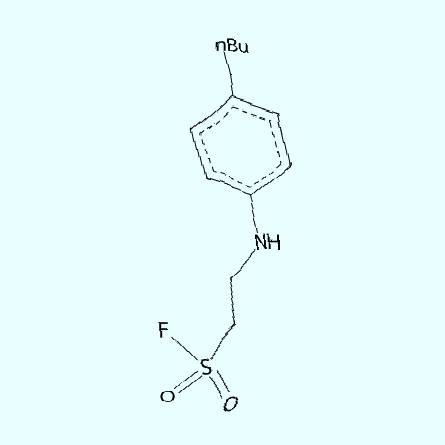 CCCCc1ccc(NCCS(=O)(=O)F)cc1